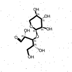 O=C[C@H](O)[C@@H](O[C@H]1OC[C@@H](O)[C@H](O)[C@H]1O)[C@H](O)CO